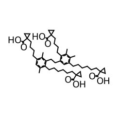 Cc1cc(CCCCC2(C(=O)O)CC2)c(C)c(CCc2cc(CCCCCCC3(C(=O)O)CC3)c(C)c(C)c2CCCCC2(C(=O)O)CC2)c1CCCCCCC1(C(=O)O)CC1